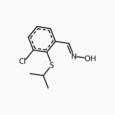 CC(C)Sc1c(Cl)cccc1C=NO